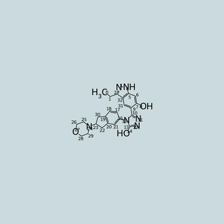 CCc1n[nH]c2cc(O)c(-c3nnc(O)n3-c3ccc4c(c3)CC(N3CCOCC3)C4)cc12